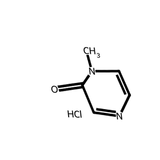 Cl.Cn1ccncc1=O